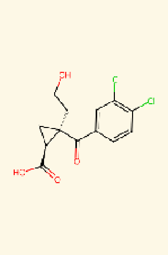 O=C(O)[C@H]1C[C@@]1(CCO)C(=O)c1ccc(Cl)c(Cl)c1